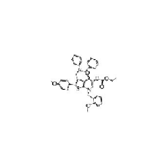 CCOC(=O)Oc1cn(Cc2ccccc2OC)c2sc(-c3ccc(OC)cc3)c(CN(Cc3ccccc3)c3ccccc3)c2c1=O